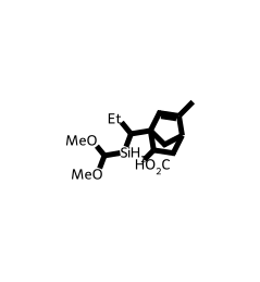 CCC([SiH2]C(OC)OC)C12C=C(C)C(CC1C(=O)O)C2